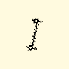 CC1CCC(C(C)C)C(OCCOCCOCCOCCOC2CC(C)CCC2C(C)C)C1